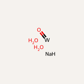 O.O.[NaH].[O]=[W]